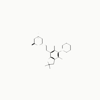 Cc1c(CC[C@@H]2C[C@@H](O)CC(=O)O2)c2c(c(C)c1N1CCCCC1)CC(C)(C)O2